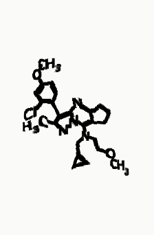 COCCN(CC1CC1)c1c2c(nc3c(-c4ccc(OC)cc4Cl)c(C)nn13)CCC2